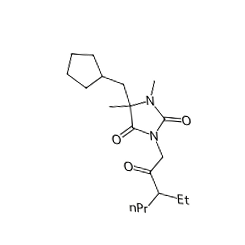 CCCC(CC)C(=O)CN1C(=O)N(C)C(C)(CC2CCCC2)C1=O